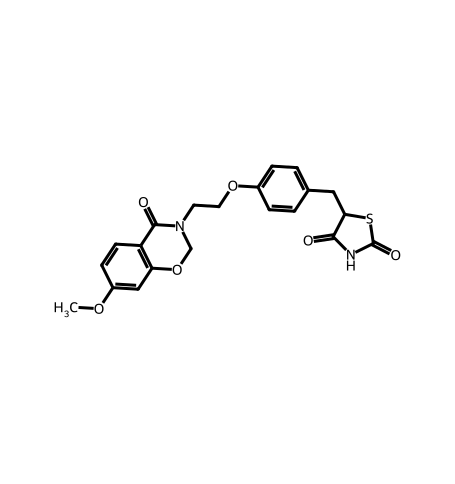 COc1ccc2c(c1)OCN(CCOc1ccc(CC3SC(=O)NC3=O)cc1)C2=O